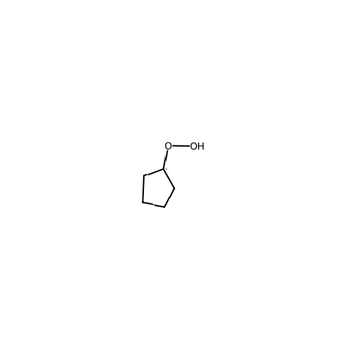 OO[C]1CCCC1